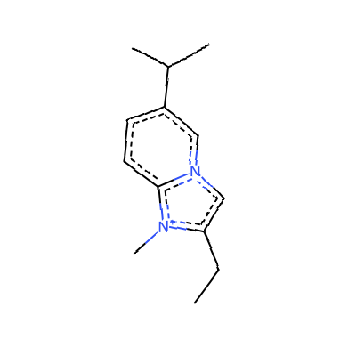 CCc1cn2cc(C(C)C)ccc2[n+]1C